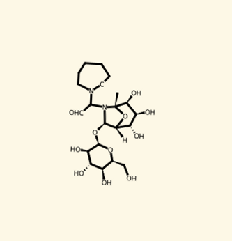 C[C@]12O[C@H]([C@@H](O)[C@H](O)[C@@H]1O)[C@@H](O[C@H]1O[C@@H](CO)[C@@H](O)[C@H](O)[C@H]1O)N2C(C=O)N1CCCCCC1